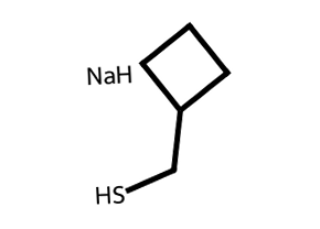 SCC1CCC1.[NaH]